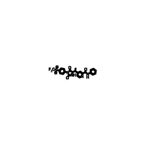 CC(c1ccnc(C(=O)Nc2ccccc2)c1)C1NC(=O)N(c2ccc(S(=O)(=O)C(F)(F)F)cc2)C1=O